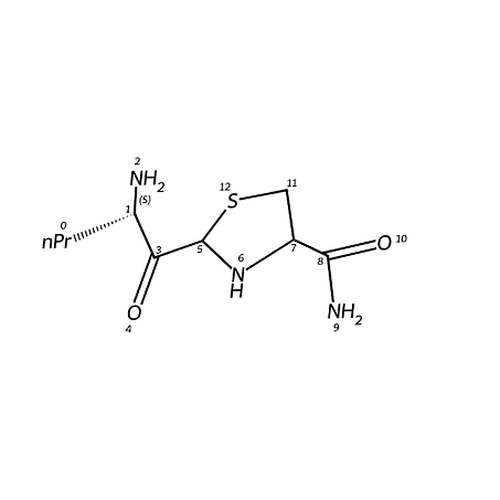 CCC[C@H](N)C(=O)C1NC(C(N)=O)CS1